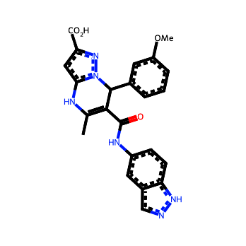 COc1cccc(C2C(C(=O)Nc3ccc4[nH]ncc4c3)=C(C)Nc3cc(C(=O)O)nn32)c1